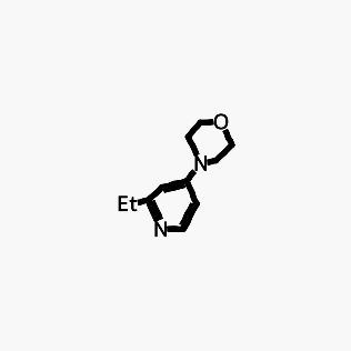 CCc1cc(N2CCOCC2)ccn1